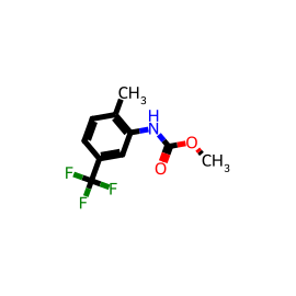 COC(=O)Nc1cc(C(F)(F)F)ccc1C